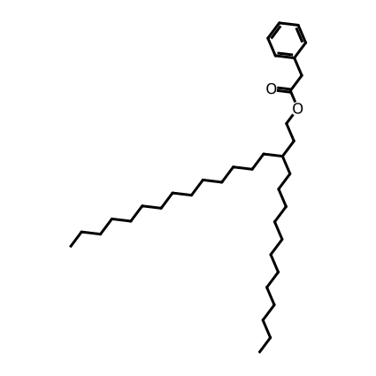 CCCCCCCCCCCCCCC(CCCCCCCCCCCC)CCOC(=O)Cc1ccccc1